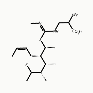 C/C=C\C[C@@H]([C@H](C)[C@H](C)C(C)F)[C@@H](C)S/C(=N\C)NCC(CCC)C(=O)O